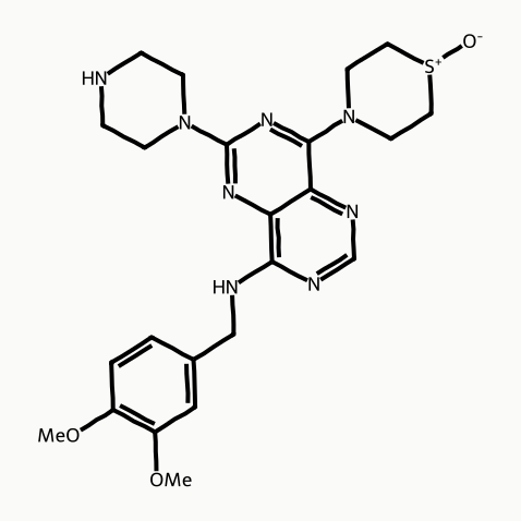 COc1ccc(CNc2ncnc3c(N4CC[S+]([O-])CC4)nc(N4CCNCC4)nc23)cc1OC